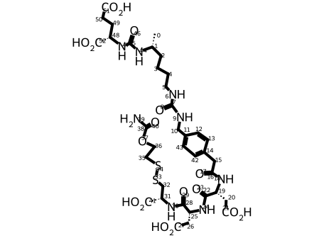 C[C@H](CCCCNC(=O)NCc1ccc(CC(=O)N[C@H](CC(=O)O)C(=O)N[C@H](CC(=O)O)C(=O)N[C@@H](CSSCCOC(N)=O)C(=O)O)cc1)NC(=O)N[C@@H](CCC(=O)O)C(=O)O